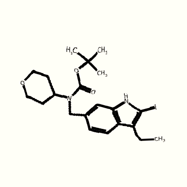 CCc1c(I)[nH]c2cc(CN(C(=O)OC(C)(C)C)C3CCOCC3)ccc12